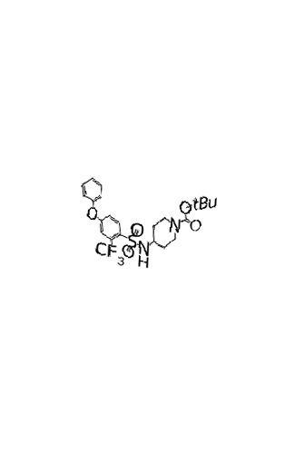 CC(C)(C)OC(=O)N1CCC(NS(=O)(=O)c2ccc(Oc3ccccc3)cc2C(F)(F)F)CC1